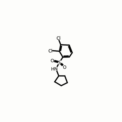 O=S(=O)(NC1CCCC1)c1cccc(Cl)c1Cl